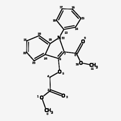 COC(=O)COc1c(C(=O)OC)n(-c2ccccc2)c2ccccc12